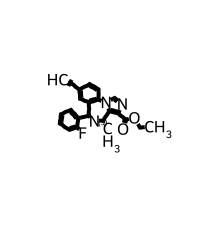 C#Cc1ccc2c(c1)C(c1ccccc1F)=N[C@@H](C)c1c(C(=O)OCC)ncn1-2